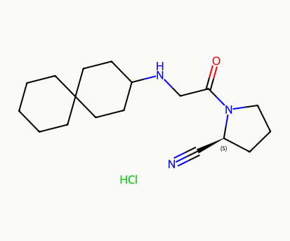 Cl.N#C[C@@H]1CCCN1C(=O)CNC1CCC2(CCCCC2)CC1